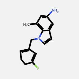 Cc1cc(N)cc2ccn(CC3=CCCC(F)=C3)c12